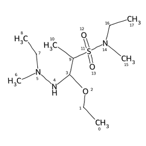 CCOC(NN(C)CC)C(C)S(=O)(=O)N(C)CC